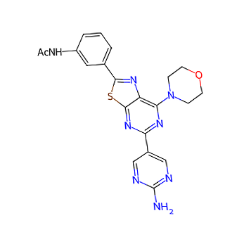 CC(=O)Nc1cccc(-c2nc3c(N4CCOCC4)nc(-c4cnc(N)nc4)nc3s2)c1